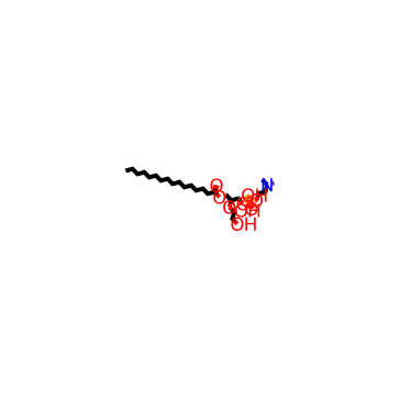 CCCCCCCCCCCCCCCC(=O)OCC(COP(=O)(O)OCCN(C)C)OC(O)CO